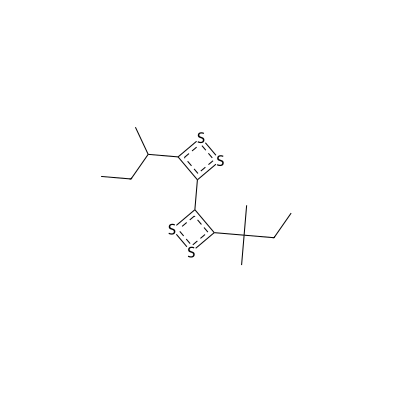 CCC(C)c1ssc1-c1ssc1C(C)(C)CC